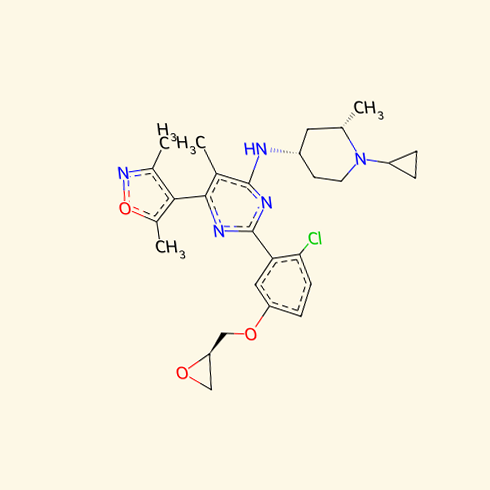 Cc1noc(C)c1-c1nc(-c2cc(OC[C@H]3CO3)ccc2Cl)nc(N[C@H]2CCN(C3CC3)[C@@H](C)C2)c1C